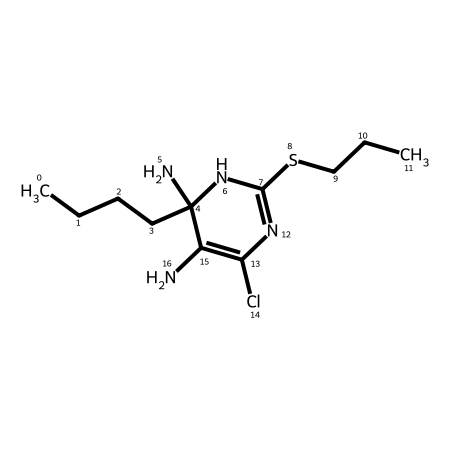 CCCCC1(N)NC(SCCC)=NC(Cl)=C1N